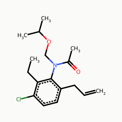 C=CCc1ccc(Cl)c(CC)c1N(COC(C)C)C(C)=O